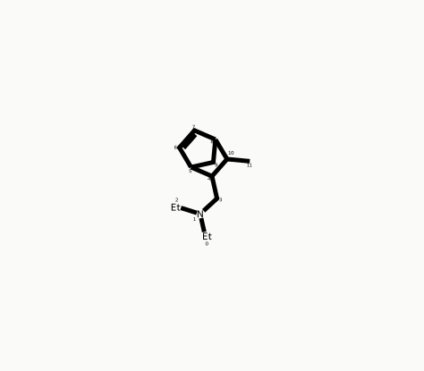 CCN(CC)CC1C2C=CC(C2)C1C